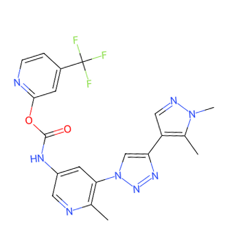 Cc1ncc(NC(=O)Oc2cc(C(F)(F)F)ccn2)cc1-n1cc(-c2cnn(C)c2C)nn1